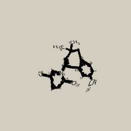 CC1(C)C=C(n2cc(Cl)ccc2=O)c2cc(C#N)ccc2C1